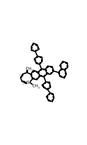 C=C1/C=C\C=C/[SiH](C)c2cc3c(-c4ccc(-c5ccccc5)cc4)c4cc(-c5cccc6ccccc56)ccc4c(-c4ccc(-c5ccccc5)cc4)c3cc21